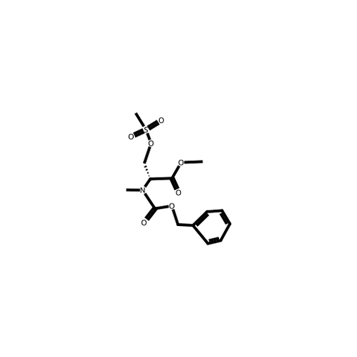 COC(=O)[C@@H](COS(C)(=O)=O)N(C)C(=O)OCc1ccccc1